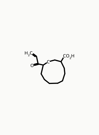 C=CC(=O)C1CCCCCCCC(C(=O)O)CC1